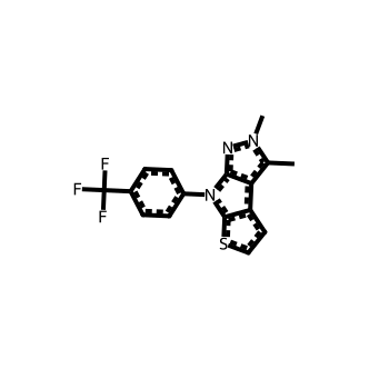 Cc1c2c3ccsc3n(-c3ccc(C(F)(F)F)cc3)c2nn1C